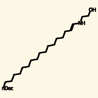 CCCCCCCCCCCCCCCCCCCCCCCCCC=CNCCO